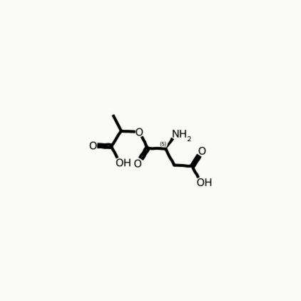 CC(OC(=O)[C@@H](N)CC(=O)O)C(=O)O